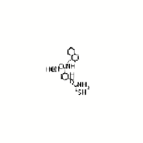 Cl.Cl.NC(CS)CNc1cccc(C(=O)NCc2cccc3ccccc23)c1